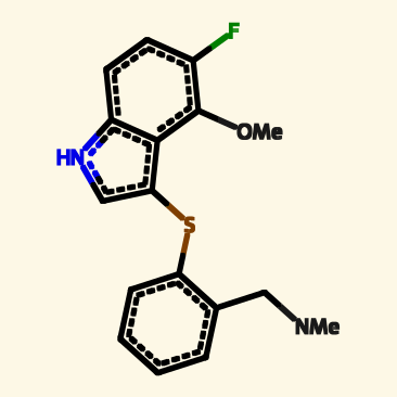 CNCc1ccccc1Sc1c[nH]c2ccc(F)c(OC)c12